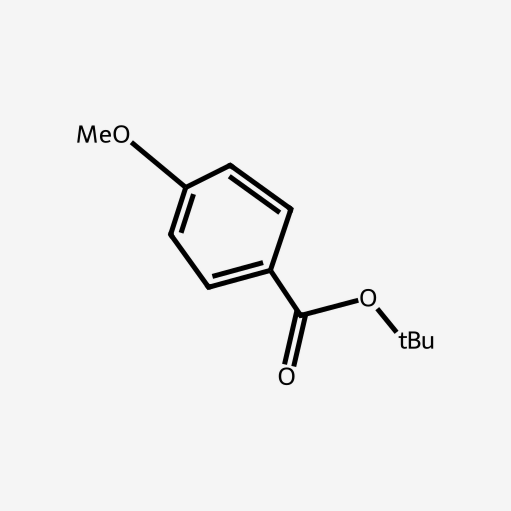 COc1ccc(C(=O)OC(C)(C)C)cc1